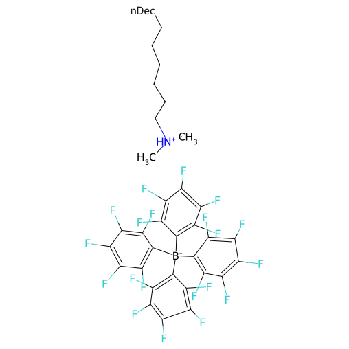 CCCCCCCCCCCCCCCC[NH+](C)C.Fc1c(F)c(F)c([B-](c2c(F)c(F)c(F)c(F)c2F)(c2c(F)c(F)c(F)c(F)c2F)c2c(F)c(F)c(F)c(F)c2F)c(F)c1F